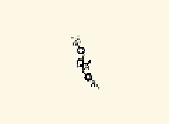 COc1ccc(Cn2nc(I)c3c(O[C@H]4CC[C@H](C(=O)OC)CC4)ccnc32)cc1